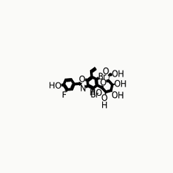 C=Cc1c(Br)c(C2(O)O[C@H](C(=O)O)[C@@H](O)[C@H](O)[C@H]2O)c(Br)c2nc(-c3ccc(O)c(F)c3)oc12